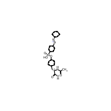 CC(=O)N[C@@H](Cc1ccc(O[As](=O)(O)c2ccc(/N=N/c3ccccc3)cc2)cc1)C(=O)O